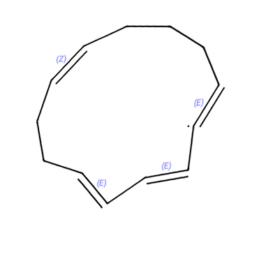 [C]1=C/CCC/C=C\CC/C=C/C=C/1